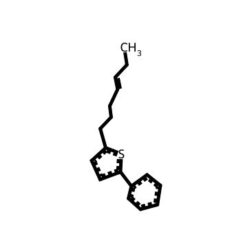 CCC=CCCCc1ccc(-c2ccccc2)s1